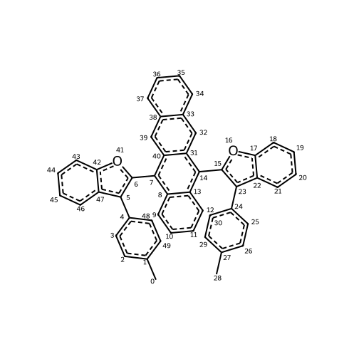 Cc1ccc(-c2c(-c3c4ccccc4c(-c4oc5ccccc5c4-c4ccc(C)cc4)c4cc5ccccc5cc34)oc3ccccc23)cc1